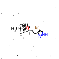 CC(C)(C)[Si](C)(C)OCCCc1n[nH]cc1Br